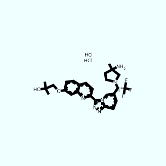 CC(C)(O)COc1ccc2ccc(-c3nnc4ccc([C@H](N5CCC(C)(N)C5)C(F)(F)F)cn34)nc2c1.Cl.Cl